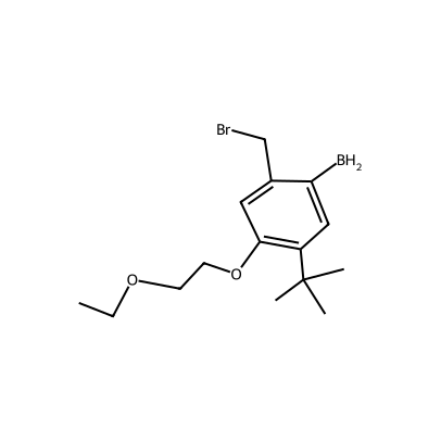 Bc1cc(C(C)(C)C)c(OCCOCC)cc1CBr